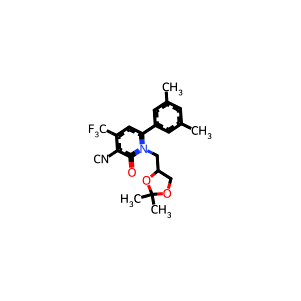 [C-]#[N+]c1c(C(F)(F)F)cc(-c2cc(C)cc(C)c2)n(CC2COC(C)(C)O2)c1=O